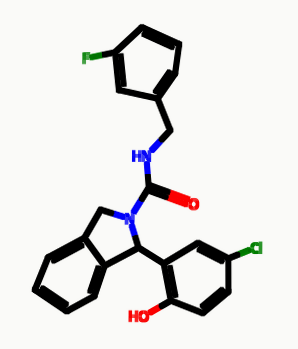 O=C(NCc1cccc(F)c1)N1Cc2ccccc2C1c1cc(Cl)ccc1O